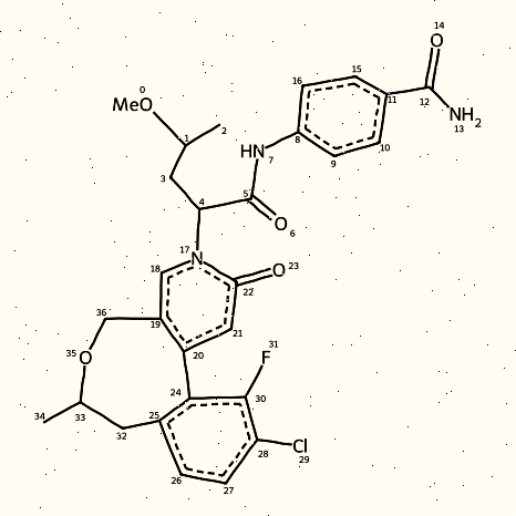 COC(C)CC(C(=O)Nc1ccc(C(N)=O)cc1)n1cc2c(cc1=O)-c1c(ccc(Cl)c1F)CC(C)OC2